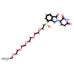 O=C(O)COCCOCCOCCOCCOCC[S+]([O-])c1cccc2c1CN(C1CCC(=O)NC1=O)C2=O